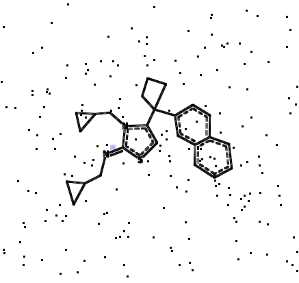 c1ccc2cc(C3(c4cs/c(=N\CC5CC5)n4CC4CC4)CCC3)ccc2c1